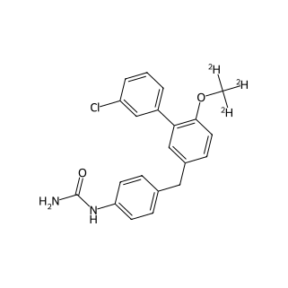 [2H]C([2H])([2H])Oc1ccc(Cc2ccc(NC(N)=O)cc2)cc1-c1cccc(Cl)c1